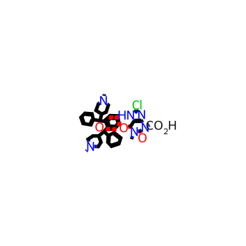 CN1CCC(C(OC(c2ccccc2)(c2ccccc2)C2CCN(C)CC2)(c2ccccc2)c2ccccc2)CC1.Cn1c(=O)c2[nH]c(Cl)nc2n(C(=O)O)c1=O